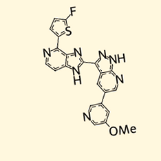 COc1cncc(-c2cnc3[nH]nc(-c4nc5c(-c6ccc(F)s6)nccc5[nH]4)c3c2)c1